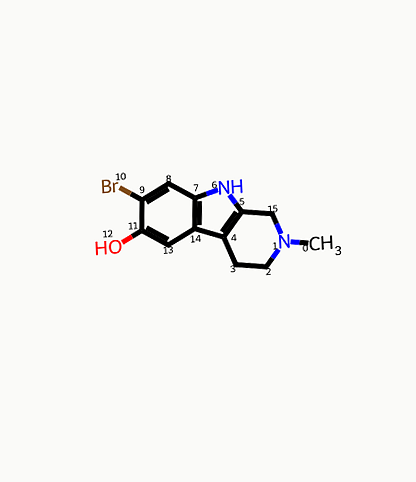 CN1CCc2c([nH]c3cc(Br)c(O)cc23)C1